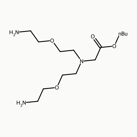 CCCCOC(=O)CN(CCOCCN)CCOCCN